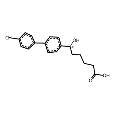 O=C(O)CCCC[C@@H](O)c1ccc(-c2ccc(Cl)cc2)cc1